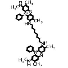 CNc1cc2c(cc1C)N=C1C=C(C)C(NCCCCCCCCNc3cc4c(cc3C)nc3cc(C)c(NC)cc3[n+]4-c3ccccc3)=CC1N2c1ccccc1